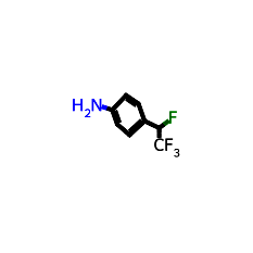 Nc1ccc(C(F)C(F)(F)F)cc1